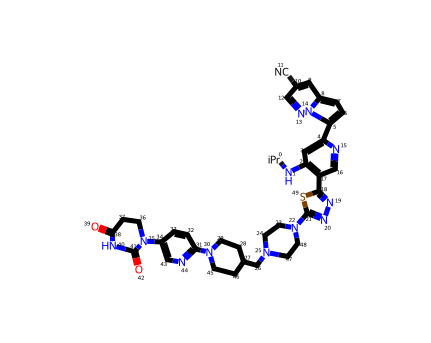 CC(C)Nc1cc(-c2ccc3cc(C#N)cnn23)ncc1-c1nnc(N2CCN(CC3CCN(c4ccc(N5CCC(=O)NC5=O)cn4)CC3)CC2)s1